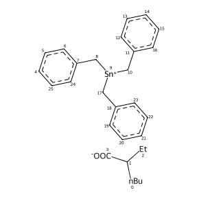 CCCCC(CC)C(=O)[O-].c1ccc([CH2][Sn+]([CH2]c2ccccc2)[CH2]c2ccccc2)cc1